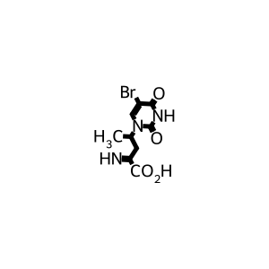 CC(CC(=N)C(=O)O)n1cc(Br)c(=O)[nH]c1=O